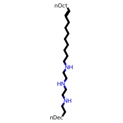 CCCCCCCCC=CCCCCCCCCNCCNCCNCCCCCCCCCCCC